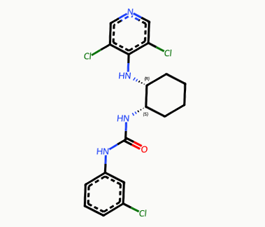 O=C(Nc1cccc(Cl)c1)N[C@H]1CCCC[C@H]1Nc1c(Cl)cncc1Cl